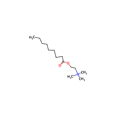 CCCCCCCCC(=O)OCC[N+](C)(C)C